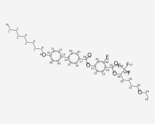 CCCCCCCCCOc1ccc(-c2ccc(C(=O)Oc3ccc(C(=O)OC(CCCCOCC)C(F)(F)F)c(F)c3)cc2)cc1